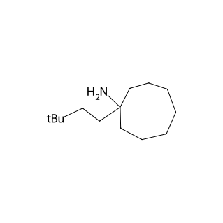 CC(C)(C)CCC1(N)CCCCCCC1